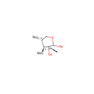 CO[C@@H]1COC(O)[C@](C)(O)[C@H]1OC